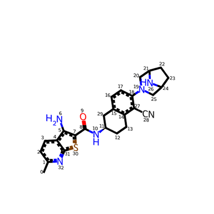 Cc1ccc2c(N)c(C(=O)N[C@@H]3CCc4c(ccc(N5CC6CCC(C5)N6)c4C#N)C3)sc2n1